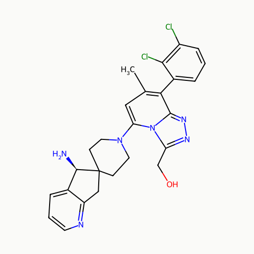 Cc1cc(N2CCC3(CC2)Cc2ncccc2[C@H]3N)n2c(CO)nnc2c1-c1cccc(Cl)c1Cl